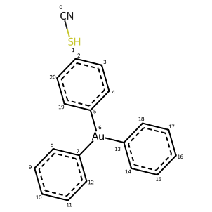 N#CS.c1cc[c]([Au]([c]2ccccc2)[c]2ccccc2)cc1